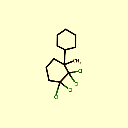 CC1(C2CCCCC2)CCCC(Cl)(Cl)C1(Cl)Cl